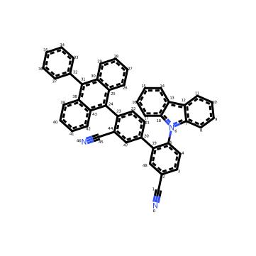 N#Cc1ccc(-n2c3ccccc3c3ccccc32)c(-c2ccc(-c3c4ccccc4c(-c4ccccc4)c4ccccc34)c(C#N)c2)c1